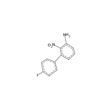 Nc1cccc(-c2ccc(I)cc2)c1[N+](=O)[O-]